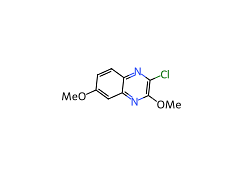 COc1ccc2nc(Cl)c(OC)nc2c1